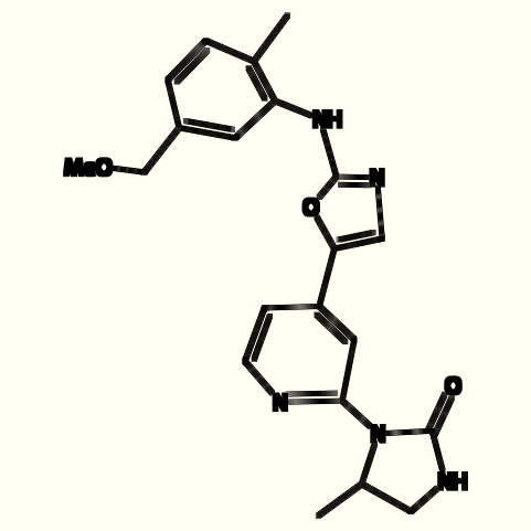 COCc1ccc(C)c(Nc2ncc(-c3ccnc(N4C(=O)NCC4C)c3)o2)c1